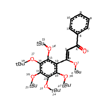 CC(C)(C)OC(=CC(=O)c1ccccc1)c1c(OC(C)(C)C)c(OC(C)(C)C)c(OC(C)(C)C)c(OC(C)(C)C)c1OC(C)(C)C